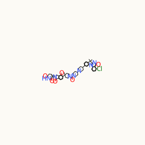 CC1(C)c2ccc(C3CCN(C4CCN(C(=O)N5CCC6(CC5)COc5c6ccc6c5CN([C@H]5CCC(=O)NC5=O)C6=O)CC4)CC3)cc2-n2c1nc(=O)c1c(Cl)cccc12